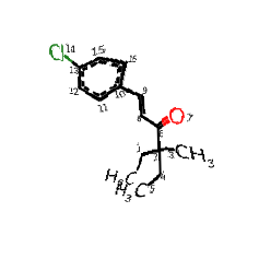 CCC(C)(CC)C(=O)C=Cc1ccc(Cl)cc1